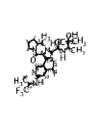 CC1CCCN1C(=O)c1nc(C(=O)NC(C)C(C)(C)O)sc1-c1cnc(NC(C)C(F)(F)F)cc1C(F)F